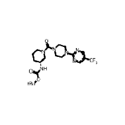 CC(C)(C)OC(=O)N[C@@H]1CCCN(C(=O)N2CCN(c3ncc(C(F)(F)F)cn3)CC2)C1